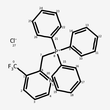 FC(F)(F)c1cccnc1C[P+](c1ccccc1)(c1ccccc1)c1ccccc1.[Cl-]